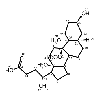 CO[C@]12CC[C@@]3(C)C(CCC3[C@H](C)CCC(=O)O)C1CC[C@@H]1C[C@H](O)CC[C@@]12C